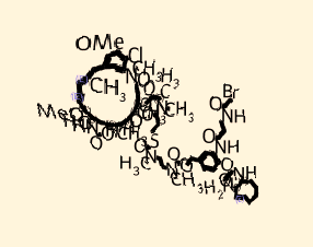 COc1cc2cc(c1Cl)N(C)C(=O)C[C@H](OC(=O)[C@H](C)N(C)C(=O)CCSC(=O)N(C)CCN(C)C(=O)OCc1ccc(OC(=O)N[C@H]3CCCC/C=C/[C@@H]3N)c(NC(=O)CCNC(=O)CBr)c1)[C@]1(C)O[C@H]1[C@H](C)[C@@H]1C[C@@](O)(NC(=O)O1)[C@H](OC)/C=C/C=C(\C)C2